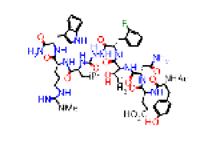 CNC(=N)NCCC[C@H](NC(=O)[C@H](CC(C)C)NC(=O)NNC(=O)[C@H](Cc1ccccc1F)NC(=O)[C@@H](NC(=O)[C@H](CC(N)=O)NC(=O)[C@H](CCC(=O)O)NC(=O)[C@@H](Cc1ccc(O)cc1)NC(C)=O)[C@@H](C)O)C(=O)N[C@@H](Cc1c[nH]c2ccccc12)C(N)=O